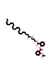 CC/C=C\C/C=C\C/C=C\C/C=C\C/C=C\C/C=C\CCC(=O)NCCCOC(=O)c1ccccc1OC(=O)c1ccccc1OC(C)=O